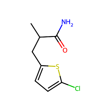 CC(Cc1ccc(Cl)s1)C(N)=O